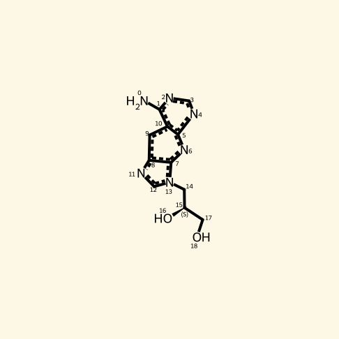 Nc1ncnc2nc3c(cc12)ncn3C[C@H](O)CO